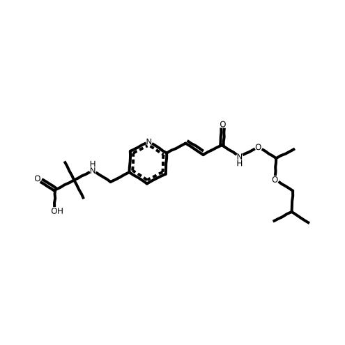 CC(C)COC(C)ONC(=O)C=Cc1ccc(CNC(C)(C)C(=O)O)cn1